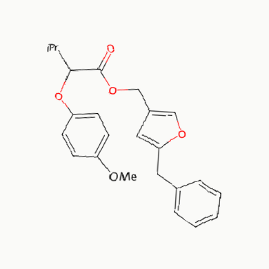 COc1ccc(OC(C(=O)OCc2coc(Cc3ccccc3)c2)C(C)C)cc1